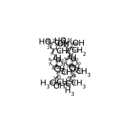 C=C1/C(=C\C=C2/CCC[C@]3(C)[C@@H]([C@H](C)CCCC(C)(C)O)CC[C@@H]23)C[C@@H](O)C[C@@H]1O.C=C1/C(=C\C=C2/CCC[C@]3(C)[C@@H]([C@H](C)CCCC(C)C)CC[C@@H]23)C[C@@H](O)C[C@@H]1O